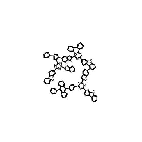 c1ccc(-c2ccc(-c3ccc4sc(-c5nc(-c6ccc7c(c6)sc6cccc(-c8ccc9cc(-c%10nc(-c%11ccc(-c%12c%13ccccc%13c(-c%13ccccc%13)c%13ccccc%12%13)cc%11)nc(-c%11ccc%12c(c%11)sc%11ccccc%11%12)n%10)sc9c8)c67)nc(-c6ccccc6-c6ccccc6)n5)cc4c3)c(-c3nc(-c4ccc5c(c4)sc4ccccc45)nc(-c4cc5ccccc5s4)n3)c2)cc1